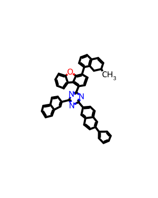 CC1C=Cc2cccc(-c3ccc(-c4nc(-c5ccc6ccccc6c5)nc(-c5ccc6cc(-c7ccccc7)ccc6c5)n4)c4c3oc3ccccc34)c2C1